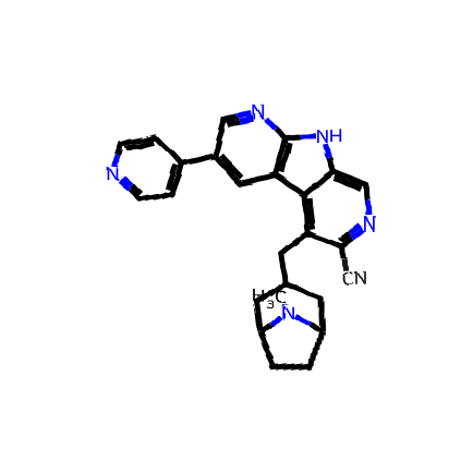 CN1C2CCC1CC(Cc1c(C#N)ncc3[nH]c4ncc(-c5ccncc5)cc4c13)C2